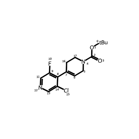 CC(C)(C)OC(=O)N1CC=C(c2c(F)cncc2Cl)CC1